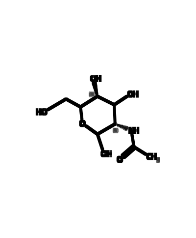 CC(=O)N[C@@H]1C(O)OC(CO)[C@@H](O)C1O